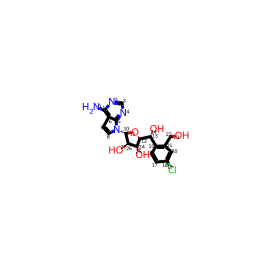 Nc1ncnc2c1ccn2[C@@H]1O[C@H]([C@H](O)c2ccc(Cl)cc2CO)[C@@H](O)[C@H]1O